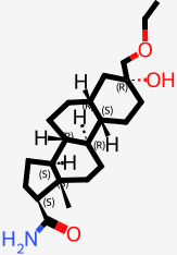 CCOC[C@@]1(O)CC[C@H]2[C@H](CC[C@@H]3[C@@H]2CC[C@]2(C)[C@@H](C(N)=O)CC[C@@H]32)C1